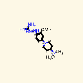 COc1cc(N2CCC(N(C)C)CC2)ccc1NNC(=N)N